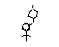 CN1CCC(Oc2cncc(C(C)(C)C)c2)CC1